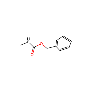 CBC(=O)OCc1ccccc1